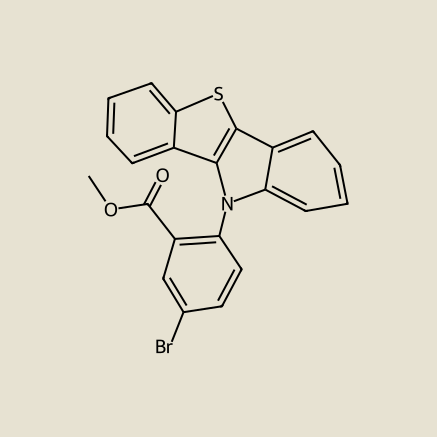 COC(=O)c1cc(Br)ccc1-n1c2ccccc2c2sc3ccccc3c21